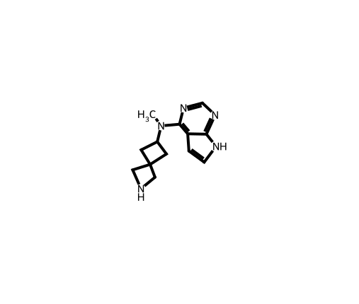 CN(c1ncnc2[nH]ccc12)C1CC2(CNC2)C1